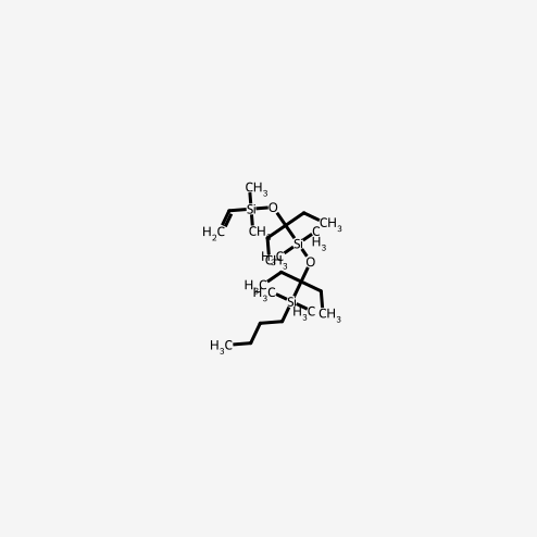 C=C[Si](C)(C)OC(CC)(CC)[Si](C)(C)OC(CC)(CC)[Si](C)(C)CCCC